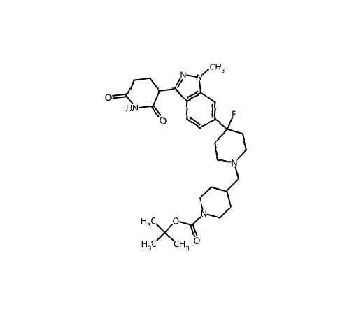 Cn1nc(C2CCC(=O)NC2=O)c2ccc(C3(F)CCN(CC4CCN(C(=O)OC(C)(C)C)CC4)CC3)cc21